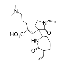 C=CC1CCCC(C2(C=C(CCCN(C)C)C(=O)O)CCN(C=C)C2=O)NC1=O